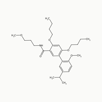 CCCCOc1cc(OCCCC)c(-c2cc(C(C)C)ccc2OC)cc1C(=O)NCCCOC